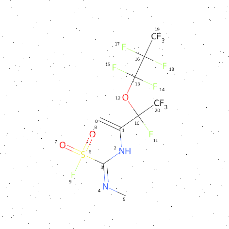 C=C(N/C(=N\C)S(=O)(=O)F)C(F)(OC(F)(F)C(F)(F)C(F)(F)F)C(F)(F)F